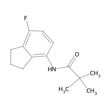 CC(C)(C)C(=O)Nc1ccc(F)c2c1CCC2